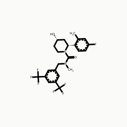 Cc1cc(F)ccc1[C@H]1C[C@@H](O)CCN1C(=O)N(C)Cc1cc(C(F)(F)F)cc(C(F)(F)F)c1